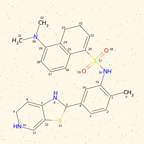 Cc1ccc(C2NC3=CCNC=C3S2)cc1NS(=O)(=O)C1=CCCc2c1cccc2N(C)C